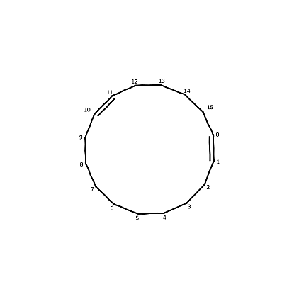 C1=C\CCCCCCCC/C=C\CCCC/1